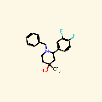 OC1(C(F)(F)F)CCN(Cc2ccccc2)C(c2ccc(F)c(F)c2)C1